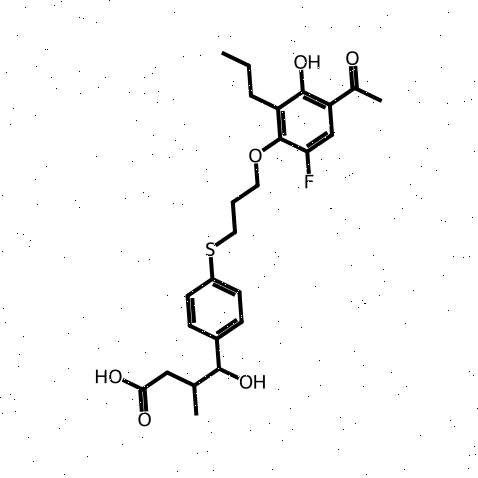 CCCc1c(O)c(C(C)=O)cc(F)c1OCCCSc1ccc(C(O)C(C)CC(=O)O)cc1